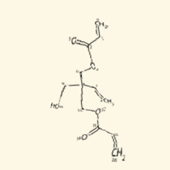 C=CC(=O)OCC(C=C)(CO)COC(=O)C=C